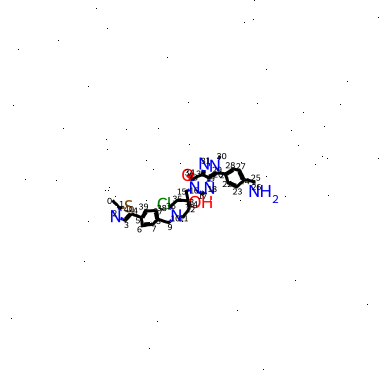 Cc1ncc(-c2ccc(CN3CCC(O)(Cn4cnc5c(-c6ccc(CN)cc6)n(C)nc5c4=O)CC3)c(Cl)c2)s1